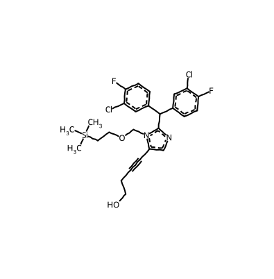 C[Si](C)(C)CCOCn1c(C#CCCO)cnc1C(c1ccc(F)c(Cl)c1)c1ccc(F)c(Cl)c1